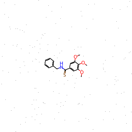 COc1cc(C(=S)NCc2ccccc2)cc(OC)c1OC